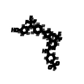 CS(=O)(=O)N1CCC(Nc2ncc(C(F)(F)F)c(-c3cn(-c4ccc(C(N5CCC(O)C5)C(F)(F)F)cc4)cn3)n2)CC1